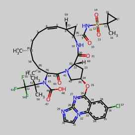 C[C@@H]1CCC=C[C@@H]2C[C@@]2(C(=O)NS(=O)(=O)C2(C)CC2)NC(=O)[C@@H]2C[C@@H](Oc3nc4nccn4c4ccc(Cl)cc34)CN2C(=O)[C@@H](N(C(=O)O)C(C)(C)C(F)(F)F)[C@H](C)C1